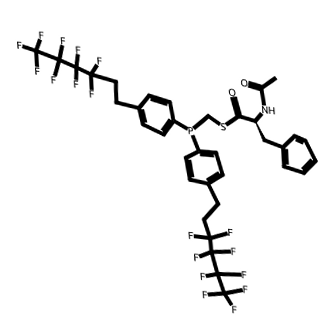 CC(=O)N[C@@H](Cc1ccccc1)C(=O)SCP(c1ccc(CCC(F)(F)C(F)(F)C(F)(F)C(F)(F)F)cc1)c1ccc(CCC(F)(F)C(F)(F)C(F)(F)C(F)(F)F)cc1